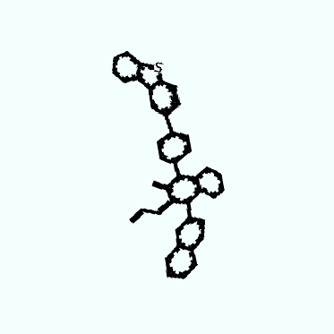 C=C/C=c1/c(-c2ccc3ccccc3c2)c2ccccc2c(-c2ccc(-c3ccc4sc5ccccc5c4c3)cc2)c1=C